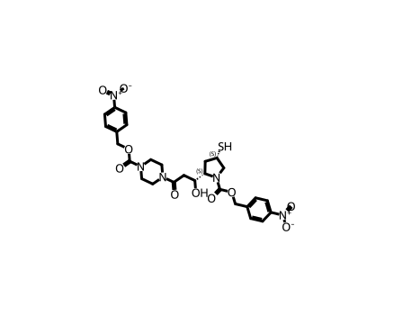 O=C(CC(O)[C@@H]1C[C@H](S)CN1C(=O)OCc1ccc([N+](=O)[O-])cc1)N1CCN(C(=O)OCc2ccc([N+](=O)[O-])cc2)CC1